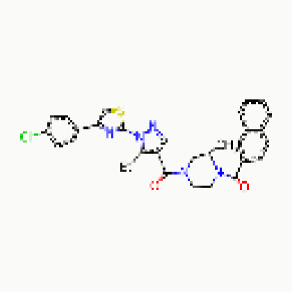 CCc1c(C(=O)N2CCN(C(=O)c3ccc4ccccc4c3)C(C)C2)cnn1-c1nc(-c2ccc(Cl)cc2)cs1